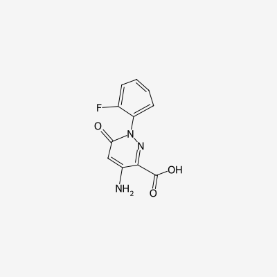 Nc1cc(=O)n(-c2ccccc2F)nc1C(=O)O